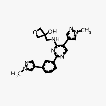 Cn1cc(-c2cccc(-c3ncc(-c4cnn(C)c4)c(NCC4(O)COC4)n3)c2)cn1